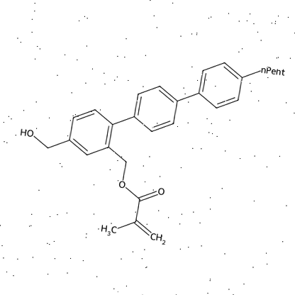 C=C(C)C(=O)OCc1cc(CO)ccc1-c1ccc(-c2ccc(CCCCC)cc2)cc1